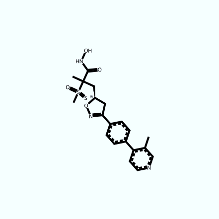 Cc1cnccc1-c1ccc(C2=NO[C@@H](CC(C)(C(=O)NO)S(C)(=O)=S)C2)cc1